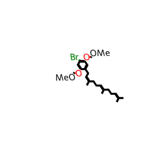 COCOc1cc(C/C=C(/C)CC/C=C(\C)CCC=C(C)C)c(OCOC)cc1Br